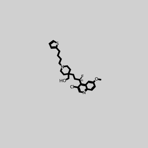 COc1ccc2ncc(Cl)c([C@H](F)CCC3(CO)CCN(CCCCc4cccs4)CC3)c2c1